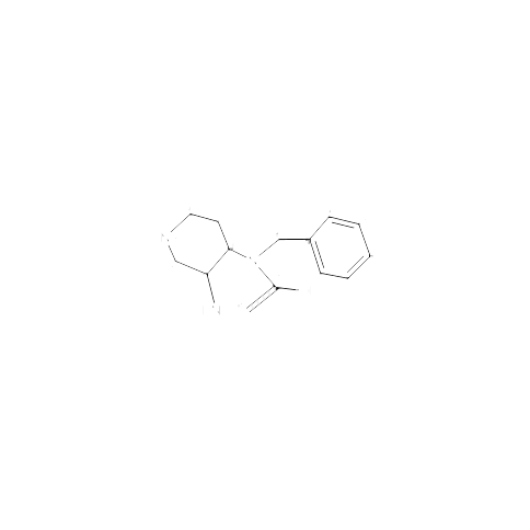 NC1CNCCC1N(Cc1ccccc1)C(=O)O